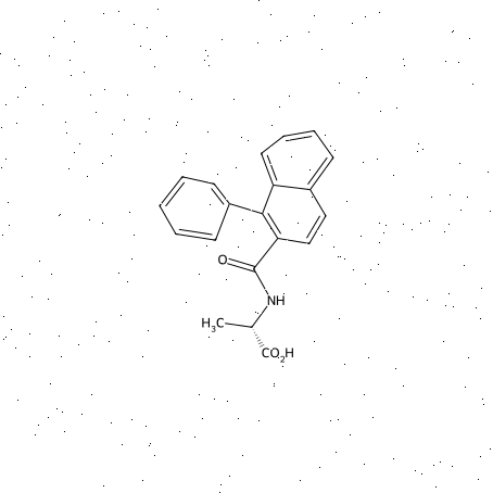 C[C@H](NC(=O)c1ccc2ccccc2c1-c1ccccc1)C(=O)O